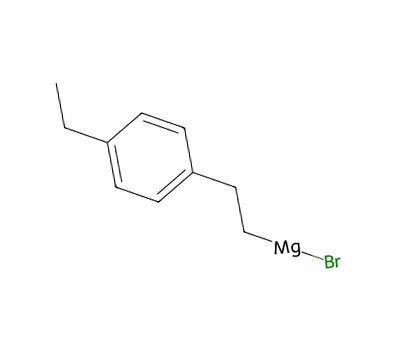 CCc1ccc(C[CH2][Mg][Br])cc1